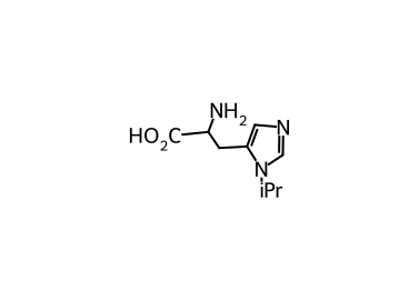 CC(C)n1cncc1CC(N)C(=O)O